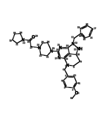 COc1ccc(CN2CCC3NN(Cc4ccccc4)c4nc(N5CCN(CC(=O)N6CCCC6)CC5)nc2c43)cc1